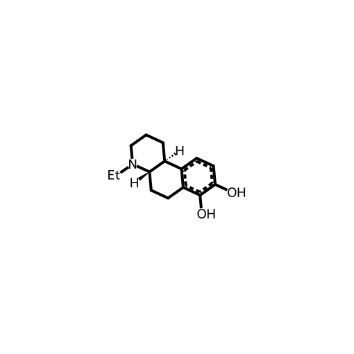 CCN1CCC[C@H]2c3ccc(O)c(O)c3CC[C@@H]21